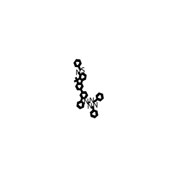 CC1(C)c2ccc(-c3ccc4c(c3)c3ccccc3n4-c3nc(-c4ccccc4)nc(-c4ccccc4)n3)cc2-c2ccc3sc(-c4ccccc4)nc3c21